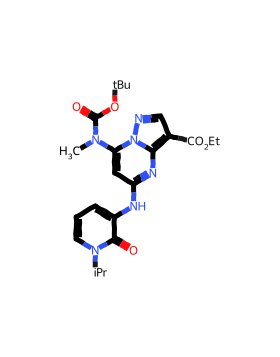 CCOC(=O)c1cnn2c(N(C)C(=O)OC(C)(C)C)cc(Nc3cccn(C(C)C)c3=O)nc12